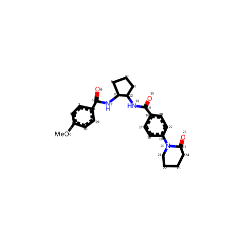 COc1ccc(C(=O)NC2CCCC2NC(=O)c2ccc(N3CCCCC3=O)cc2)cc1